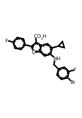 O=C(O)c1c(-c2ccc(F)cc2)oc2cc(NCc3ccc(Br)c(F)c3)c(C3CC3)cc12